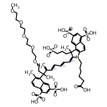 C=C(/C=C/C=C/C=C1/N(CCCCCC(=O)O)c2ccc3c(S(=O)(=O)O)cc(S(=O)(=O)O)cc3c2C1(C)CCCS(=O)(=O)O)C(C)(CCOCCOCCOCCOCCOC)c1c(C)ccc2c(S(=O)(=O)O)cc(S(=O)(=O)O)cc12